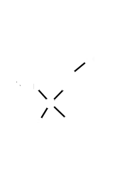 CO.F[B-](F)(F)F.[Na+]